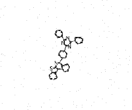 c1ccc(-c2nc(-c3ccccc3)nc(-c3ccc(-c4nc5sc6ccccc6c5c5ccccc45)cc3)n2)cc1